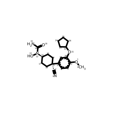 COc1ccc([C@]2(C#N)CC[C@H](N(O)C(N)=O)CC2)cc1OC1CCCC1